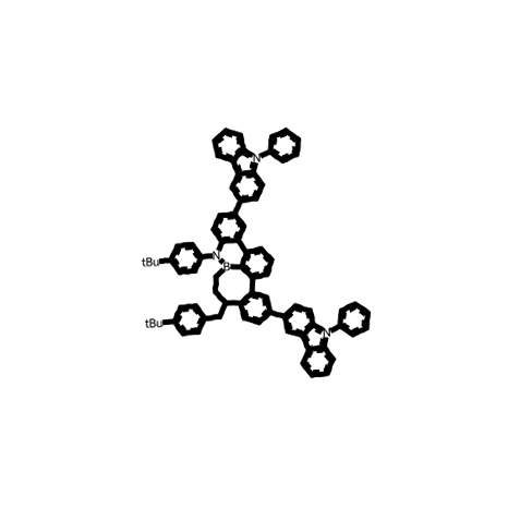 CC(C)(C)c1ccc(CC2CCB3c4c(cccc4-c4cc(-c5ccc6c(c5)c5ccccc5n6-c5ccccc5)ccc4N3c3ccc(C(C)(C)C)cc3)-c3cc(-c4ccc5c(c4)c4ccccc4n5-c4ccccc4)ccc32)cc1